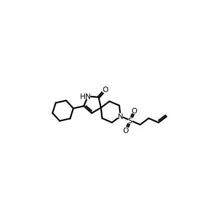 C=CCCS(=O)(=O)N1CCC2(C=C(C3CCCCC3)NC2=O)CC1